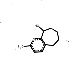 Cc1ccc2c(n1)C(O)CCCC2